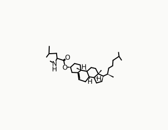 CNC(CC(C)C)C(=O)O[C@H]1CC[C@@]2(C)C(=CC[C@H]3[C@@H]4CC[C@H]([C@H](C)CCCC(C)C)[C@@]4(C)CC[C@@H]32)C1